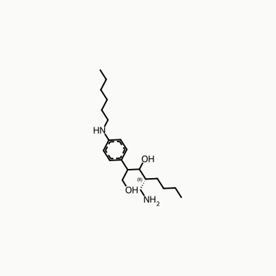 CCCCCCNc1ccc(C(CO)C(O)[C@@H](CN)CCCC)cc1